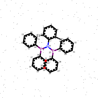 CCc1cccc(CC)c1N(P(c1ccccc1)c1ccccc1)P(c1ccccc1)c1ccccc1